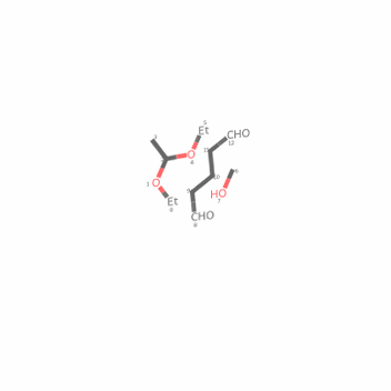 CCOC(C)OCC.CO.O=CCCCC=O